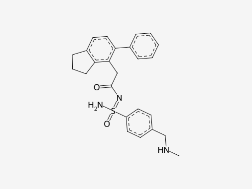 CNCc1ccc(S(N)(=O)=NC(=O)Cc2c(-c3ccccc3)ccc3c2CCC3)cc1